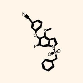 CSc1c(Oc2cccc(C#N)c2)c(F)cc2c1ccn2S(=O)(=O)Cc1ccccc1